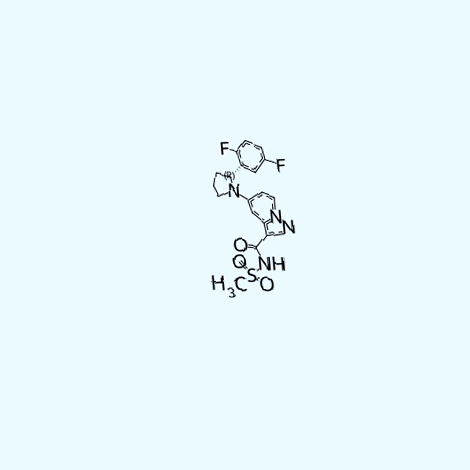 CS(=O)(=O)NC(=O)c1cnn2ccc(N3CCC[C@@H]3c3cc(F)ccc3F)cc12